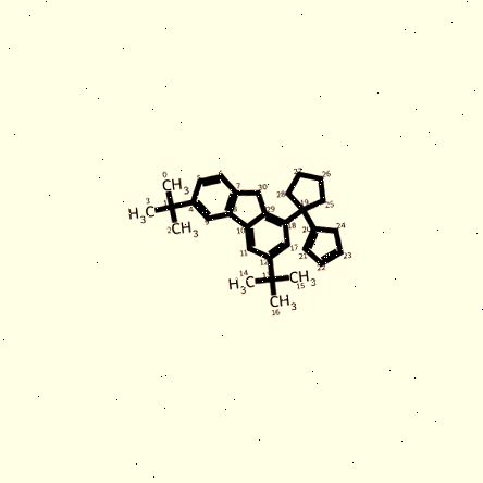 CC(C)(C)c1ccc2c(c1)-c1cc(C(C)(C)C)cc(C3(C4=CC=CC4)CCCC3)c1C2